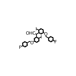 O=CC(c1cc(OCc2ccc(F)cc2)ccc1I)c1cc(OCc2ccc(F)cc2)ccc1I